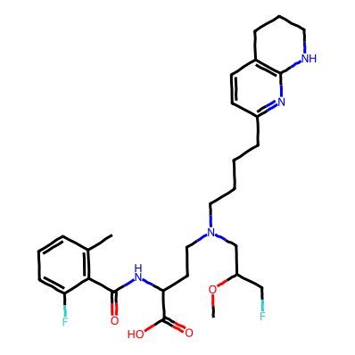 COC(CF)CN(CCCCc1ccc2c(n1)NCCC2)CCC(NC(=O)c1c(C)cccc1F)C(=O)O